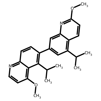 COc1ccc2c(C(C)C)cc(-c3ccc4nccc(OC)c4c3C(C)C)cc2n1